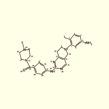 Cc1ccc(N)cc1N1CCc2nc(Nc3ccc(C(=O)N4CCN(C)CC4)cc3)ncc2C1